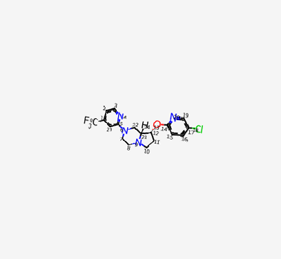 FC(F)(F)c1ccnc(N2CCN3CC[C@@H](Oc4ccc(Cl)cn4)[C@H]3C2)c1